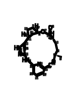 C[C@H]1CCNC(=O)O[C@@H]2CC[C@@H](C2)c2cc(n[nH]2)Nc2cccc(n2)CO1